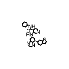 Cn1ccc2ccc(-c3cc(Nc4cnccc4C(=O)Nc4ccccc4)cc4nccnc34)cc21